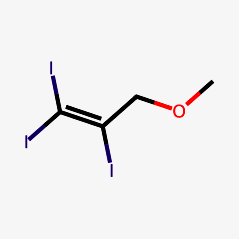 COCC(I)=C(I)I